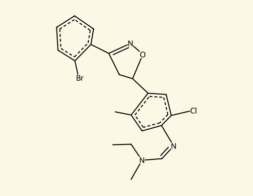 CCN(C)/C=N\c1cc(C)c(C2CC(c3ccccc3Br)=NO2)cc1Cl